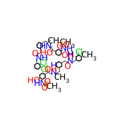 C[C@H](Cc1cccc(CC(=O)NCc2cccc(Cl)c2Cl)c1)NC[C@H](O)c1ccc(O)c(NS(C)(=O)=O)c1.Cc1ccc(CNC(=O)Cc2cccc(C[C@@H](C)NC[C@H](O)c3ccc(O)c(NS(C)(=O)=O)c3)c2)cc1Cl